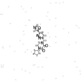 O=C1C(=O)N(C2CCCC2)CCN1Cc1ccc(-c2cnco2)nn1